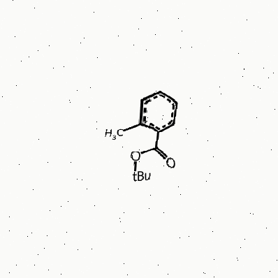 Cc1ccccc1C(=O)OC(C)(C)C